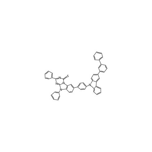 S=c1nc(-c2ccccc2)nc2n(-c3ccccc3)c3ccc(-c4ccc(-n5c6ccccc6c6cc(-c7cccc(-c8ccccc8)c7)ccc65)cc4)cc3n12